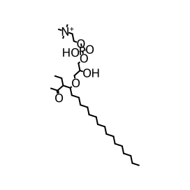 CCCCCCCCCCCCCCCCC(OCC(O)COP(=O)(O)OCC[N+](C)(C)C)C(CC)C(C)=O